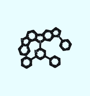 c1ccc(-c2cc(-c3ccccc3)nc(-n3c4cc5c(ccn5-c5ccccc5)cc4c4ccc5sc6ccccc6c5c43)c2)cc1